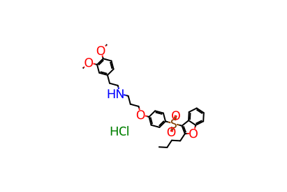 CCCCc1oc2ccccc2c1S(=O)(=O)c1ccc(OCCCNCCc2ccc(OC)c(OC)c2)cc1.Cl